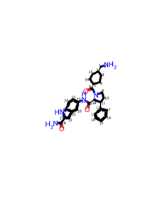 NC[C@H]1CC[C@H](C(=O)N2CC[C@@H](c3ccccc3)[C@H]2C(=O)Nc2ccc3[nH]c(C(N)=O)cc3c2)CC1